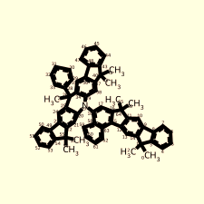 CC1(C)c2ccccc2-c2cc3c(cc21)-c1c(cc(N2c4cc5c(cc4C(C)(c4ccccc4)c4cc6c(cc42)C(C)(C)c2ccccc2-6)-c2ccccc2C5(C)C)c2ccccc12)C3(C)C